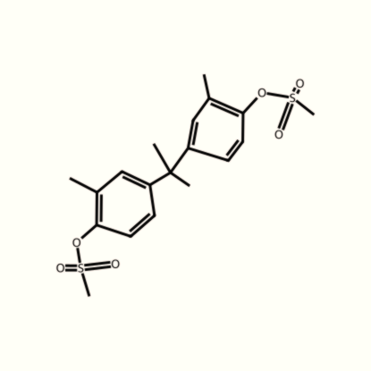 Cc1cc(C(C)(C)c2ccc(OS(C)(=O)=O)c(C)c2)ccc1OS(C)(=O)=O